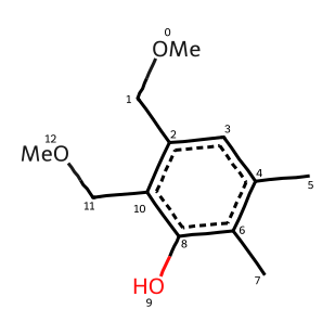 COCc1cc(C)c(C)c(O)c1COC